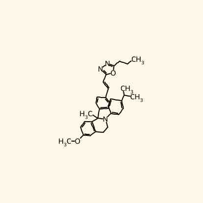 CCCc1nnc(/C=C/c2ccc(C3(C)c4ccc(OC)cc4CCN3c3ccc(C(C)C)cc3)cc2)o1